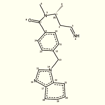 C[C@H](CC=N)N(C)C(=O)c1ccc(Cn2cnc3ccccc32)cc1